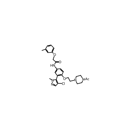 CC(=O)N1CCN(CCOc2ccc(NC(=O)COc3cccc(C)c3)cc2-c2c(Cl)cnn2C)CC1